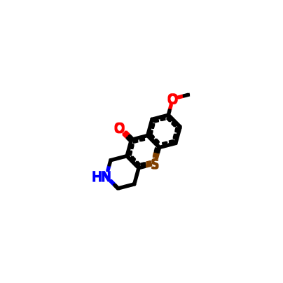 COc1ccc2sc3c(c(=O)c2c1)CNCC3